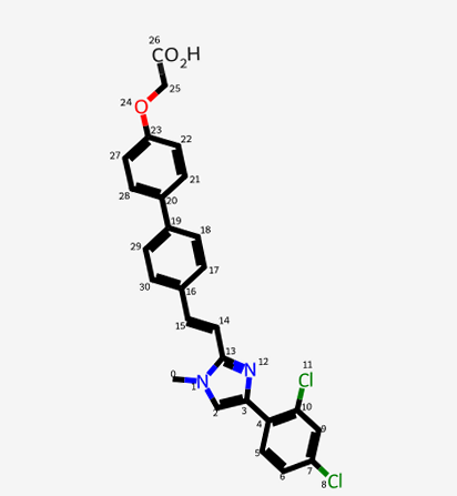 Cn1cc(-c2ccc(Cl)cc2Cl)nc1/C=C/c1ccc(-c2ccc(OCC(=O)O)cc2)cc1